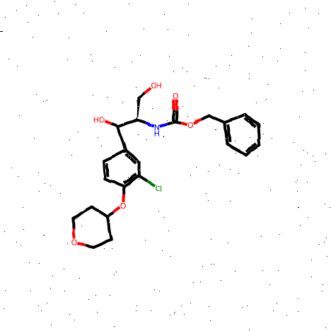 O=C(N[C@H](CO)C(O)c1ccc(OC2CCOCC2)c(Cl)c1)OCc1ccccc1